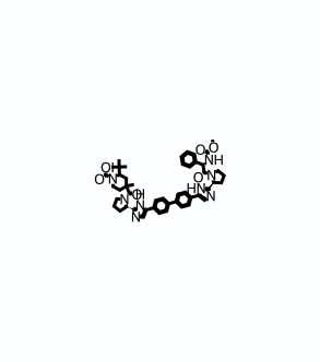 COC(=O)N[C@@H](C(=O)N1CCC[C@H]1c1ncc(-c2ccc(-c3ccc(-c4cnc([C@@H]5CCCN5C(=O)C5(C)CCN(C(=O)O)C(C(C)(C)C)C5)[nH]4)cc3)cc2)[nH]1)c1ccccc1